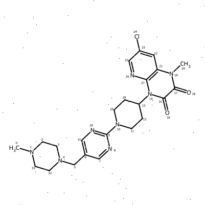 CN1CCN(Cc2cnc(N3CCC(n4c(=O)c(=O)n(C)c5cc(Cl)cnc54)CC3)nc2)CC1